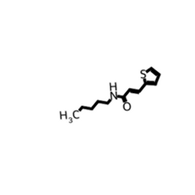 CCCCCNC(=O)/C=C/c1cccs1